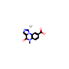 Cn1c(=O)c2cncn2c2cc(C(=O)[O-])ccc21.[Li+]